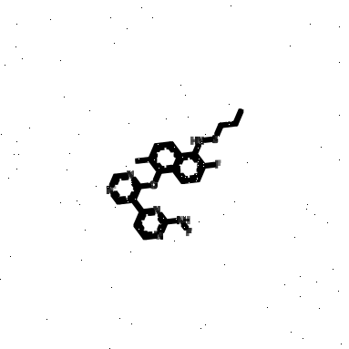 CCCSNc1c(F)ccc2c(Oc3ncncc3-c3ccnc(NF)n3)c(C)ccc12